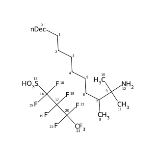 CCCCCCCCCCCCCCCCC(C)C(C)(C)N.O=S(=O)(O)C(F)(F)C(F)(F)C(F)(F)C(F)(F)F